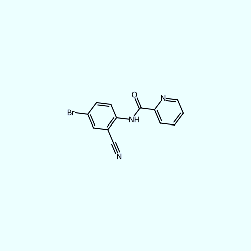 N#Cc1cc(Br)ccc1NC(=O)c1ccccn1